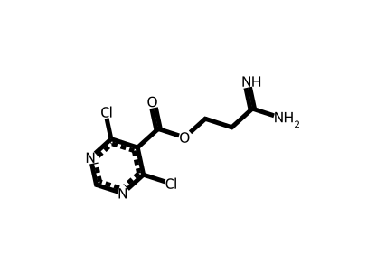 N=C(N)CCOC(=O)c1c(Cl)ncnc1Cl